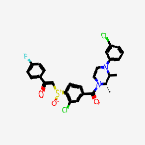 CC1[C@H](C)N(C(=O)c2ccc([S+]([O-])CC(=O)c3ccc(F)cc3)c(Cl)c2)CCN1c1cccc(Cl)c1